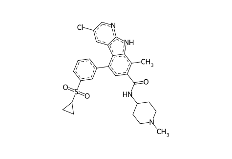 Cc1c(C(=O)NC2CCN(C)CC2)cc(-c2cccc(S(=O)(=O)C3CC3)c2)c2c1[nH]c1ncc(Cl)cc12